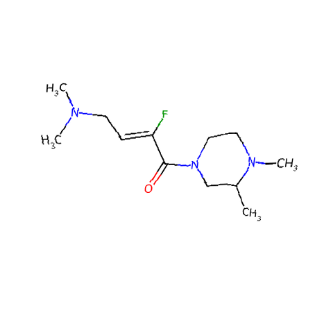 CC1CN(C(=O)/C(F)=C/CN(C)C)CCN1C